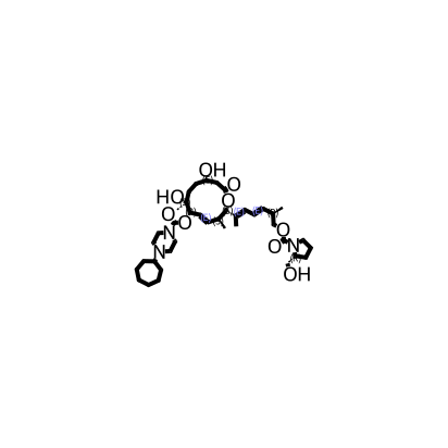 C/C(=C\C=C\[C@@H](C)COC(=O)N1CCC[C@@H]1CO)[C@H]1OC(=O)C[C@@H](O)CC[C@](C)(O)[C@H](OC(=O)N2CCN(C3CCCCCC3)CC2)/C=C/[C@@H]1C